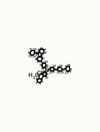 CC1(C)c2ccccc2-c2ccc(N(c3ccc(-c4ccc(-c5ccccc5)cc4)cc3)c3ccc(-c4ccc5c(c4)c4ccccc4n5-c4ccccc4)cc3)cc21